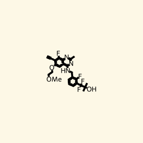 C#Cc1c(OCCOC)cc2c(NCc3cccc(C(F)(F)C(C)(C)O)c3F)nc(C)nc2c1F